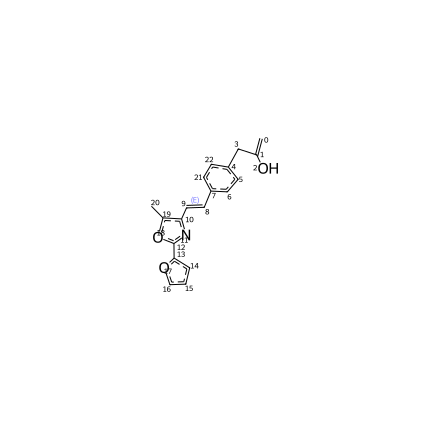 C=C(O)Cc1ccc(/C=C/c2nc(-c3ccco3)oc2C)cc1